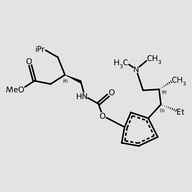 CC[C@H](c1cccc(OC(=O)NC[C@@H](CC(=O)OC)CC(C)C)c1)[C@@H](C)CN(C)C